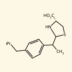 CC(C)Cc1ccc(C(C)C2N[C@H](C(=O)O)CS2)cc1